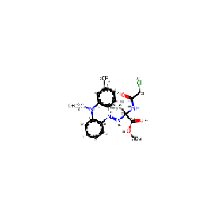 CCOC(=O)N(c1cccc(C(F)(F)F)c1)c1ccccc1N=NC(NC(=O)CCl)(C(=O)O)C(=O)OC(C)CC